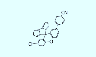 N#Cc1ccc(-c2ccc3c(c2)C2(c4cc(Cl)ccc4O3)c3ccccc3-c3ccccc32)cc1